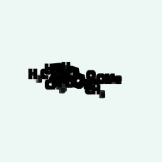 COCC(=O)N(C)[C@H]1CC[C@@]2(C)C(=CC[C@@H]3C2CC[C@]24CN(C)[C@@H](C)[C@H]2CC[C@@H]34)C1